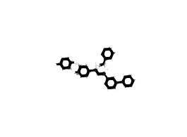 Brc1ccc2c(c1)Sc1ccc(-c3cc(-c4cccc(-c5ccccc5)c4)nc(-c4ccccc4)n3)cc1S2